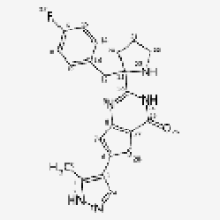 Cc1[nH]ncc1-c1cc2nc(C3(Cc4ccc(F)cc4)CCCN3)[nH]c(=O)c2s1